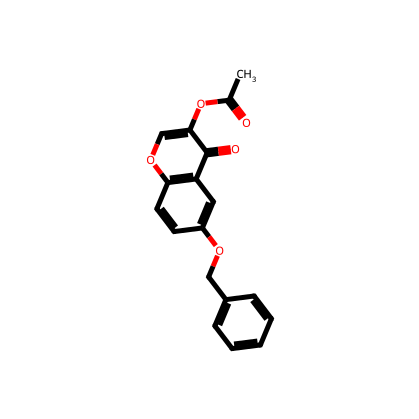 CC(=O)Oc1coc2ccc(OCc3ccccc3)cc2c1=O